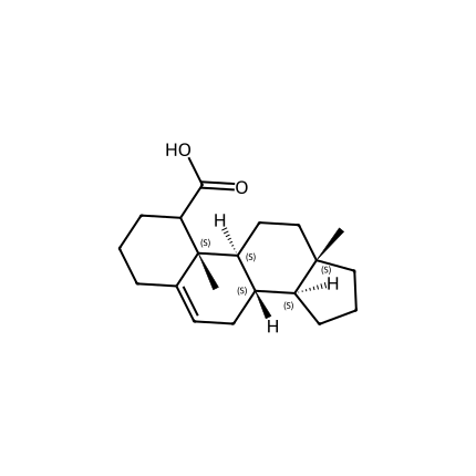 C[C@@]12CCC[C@H]1[C@@H]1CC=C3CCCC(C(=O)O)[C@]3(C)[C@H]1CC2